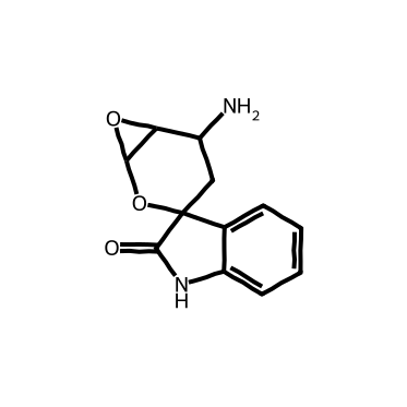 NC1CC2(OC3OC13)C(=O)Nc1ccccc12